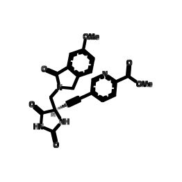 COC(=O)c1ccc(C#C[C@]2(CN3Cc4ccc(OC)cc4C3=O)NC(=O)NC2=O)cn1